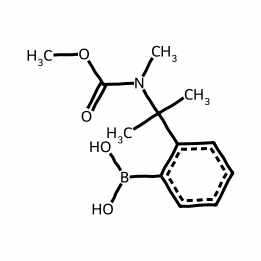 COC(=O)N(C)C(C)(C)c1ccccc1B(O)O